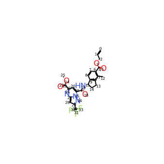 C=CCOC(=O)c1ccc2c(c1C)CC[C@@H]2NC(=O)c1cc(C(=O)OC)nc2cc(C(F)(F)F)nn12